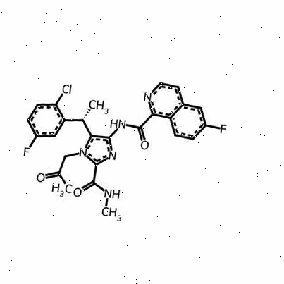 CNC(=O)c1nc(NC(=O)c2nccc3cc(F)ccc23)c([C@@H](C)c2cc(F)ccc2Cl)n1CC(C)=O